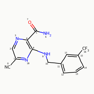 N#Cc1cnc(C(N)=O)c(NCc2cccc(C(F)(F)F)c2)n1